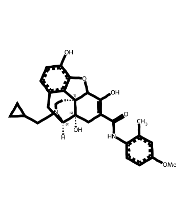 COc1ccc(NC(=O)C2=C(O)C3Oc4c(O)ccc5c4[C@@]34CCN(CC3CC3)[C@H](C5)[C@]4(O)C2)c(C)c1